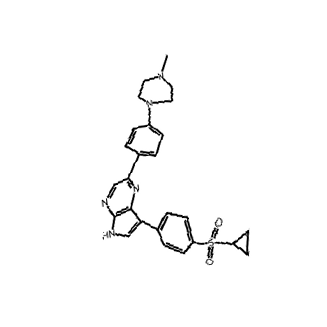 CN1CCN(c2ccc(-c3cnc4[nH]cc(-c5ccc(S(=O)(=O)C6CC6)cc5)c4n3)cc2)CC1